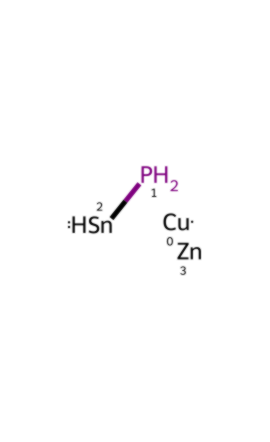 [Cu].[PH2][SnH].[Zn]